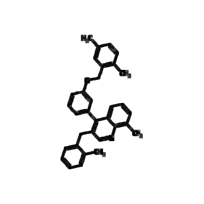 Cc1ccc(C)c(COc2cccc(-c3c(Cc4ccccc4C)cnc4c(C(F)(F)F)cccc34)c2)c1